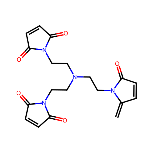 C=C1C=CC(=O)N1CCN(CCN1C(=O)C=CC1=O)CCN1C(=O)C=CC1=O